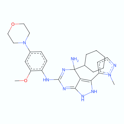 COc1cc(N2CCOCC2)ccc1NC1=NC(N)(C2CCCCC2)C2=C(c3ccnn3C)NNC2=N1